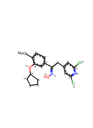 COc1ccc(/C(Cc2cc(Cl)nc(Cl)c2)=N\O)cc1OC1CCCC1